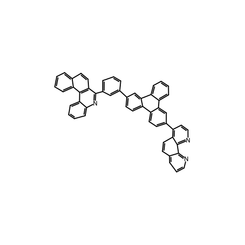 c1cc(-c2ccc3c4ccc(-c5ccnc6c5ccc5cccnc56)cc4c4ccccc4c3c2)cc(-c2nc3ccccc3c3c2ccc2ccccc23)c1